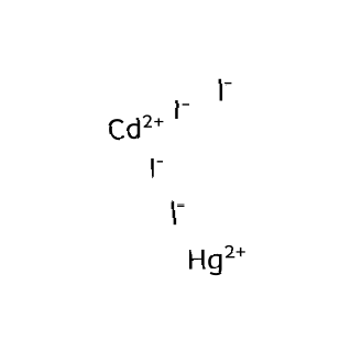 [Cd+2].[Hg+2].[I-].[I-].[I-].[I-]